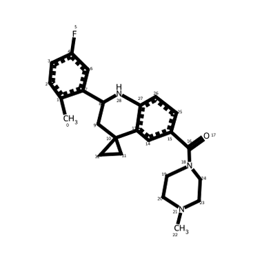 Cc1ccc(F)cc1C1CC2(CC2)c2cc(C(=O)N3CCN(C)CC3)ccc2N1